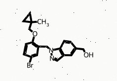 CC1(COc2ccc(Br)cc2Cn2ncc3cc(CO)ccc32)CC1